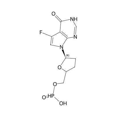 O=c1[nH]cnc2c1c(F)cn2[C@H]1CCC(CO[PH](=O)O)O1